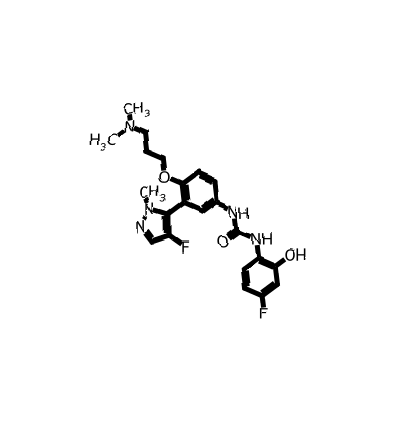 CN(C)CCCOc1ccc(NC(=O)Nc2ccc(F)cc2O)cc1-c1c(F)cnn1C